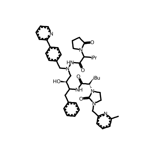 CC[C@H](C)[C@@H](C(=O)NC(Cc1ccccc1)[C@@H](O)CN(Cc1ccc(-c2ccccn2)cc1)NC(=O)C(C(C)C)N1CCCC1=O)N1CCN(Cc2cccc(C)n2)C1=O